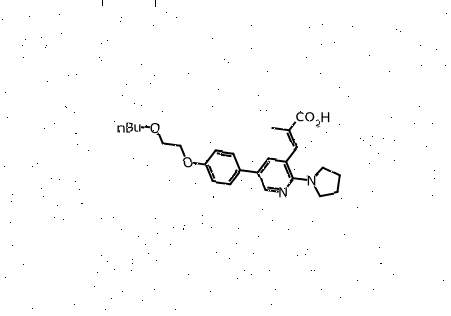 CCCCOCCOc1ccc(-c2cnc(N3CCCC3)c(C=C(C)C(=O)O)c2)cc1